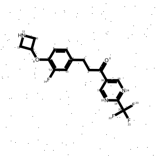 O=C(CCc1ccc(OC2CNC2)c(F)c1)c1cnc(C(F)(F)F)nc1